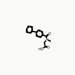 CN(CC(=O)O)C(=O)c1ccc(-c2ccccc2)cc1